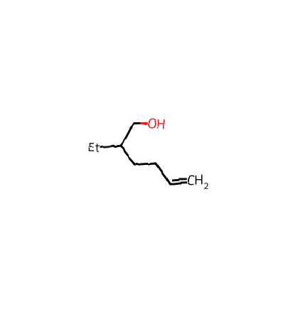 C=CCCC(CC)CO